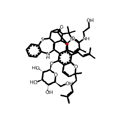 CC(C)=CCCC1(C)C=Cc2c(c(CC=C(C)C)c3c(c2O[C@H]2O[C@@H](CO)[C@H](O)[C@@H](O)[C@@H]2O)C2=C4C(Sc5ccccc5N2)C2CC5C(C)(C)OC(C/C=C(/C)C(=O)NCCO)(C2=O)C45O3)O1